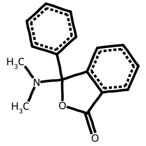 CN(C)C1(c2ccccc2)OC(=O)c2ccccc21